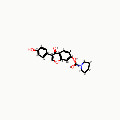 O=C(Oc1ccc2c(=O)c(-c3ccc(O)cc3)coc2c1)N1CCCCC1